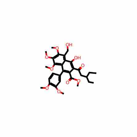 CCC(CC)CC(=O)c1c(C(=O)OC)c(-c2ccc(OC)c(OC)c2)c2c(OC)c(OC)c(OC)c(CO)c2c1O